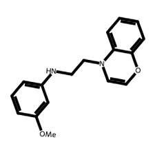 COc1cccc(NCCN2C=COc3ccccc32)c1